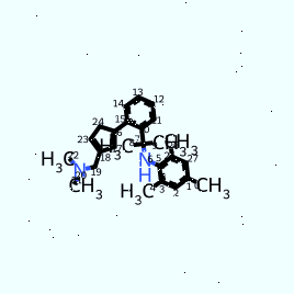 Cc1cc(C)c(NC(C)(C)c2ccccc2C2=CC(CN(C)C)=CC2)c(C)c1